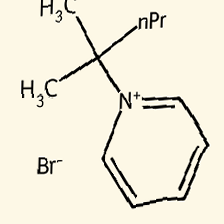 CCCC(C)(C)[n+]1ccccc1.[Br-]